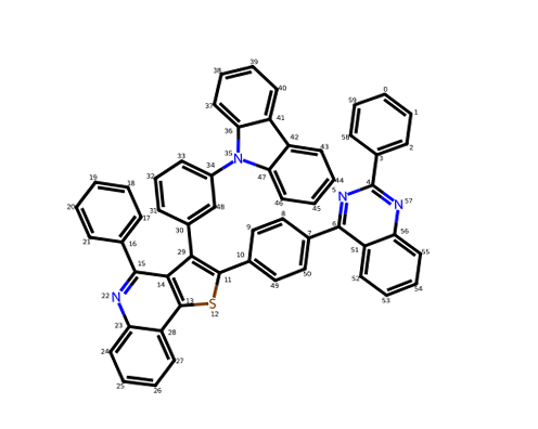 c1ccc(-c2nc(-c3ccc(-c4sc5c(c(-c6ccccc6)nc6ccccc65)c4-c4cccc(-n5c6ccccc6c6ccccc65)c4)cc3)c3ccccc3n2)cc1